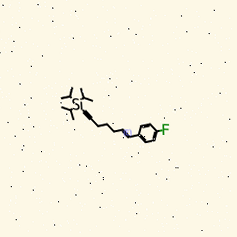 CC(C)[Si](C#CCCC/C=C/c1ccc(F)cc1)(C(C)C)C(C)C